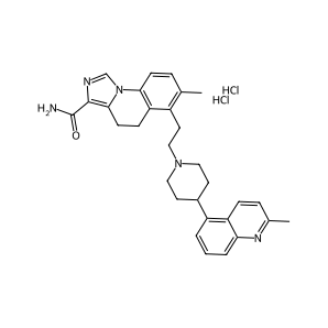 Cc1ccc2c(C3CCN(CCc4c(C)ccc5c4CCc4c(C(N)=O)ncn4-5)CC3)cccc2n1.Cl.Cl